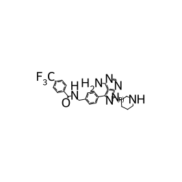 Nc1ncnc2c1c(-c1ccc(CNC(=O)c3ccc(C(F)(F)F)cc3)cc1)nn2[C@@H]1CCCNC1